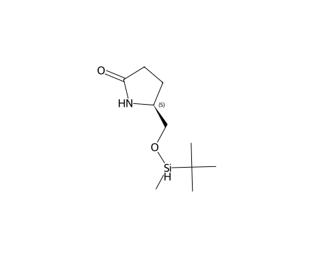 C[SiH](OC[C@@H]1CCC(=O)N1)C(C)(C)C